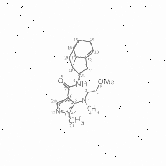 COCCN(C)c1c(C(=O)NC2CC3=CCC4CC3C2C4)cnn1C